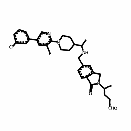 CC(NCc1ccc2c(c1)CN(C(C)CCC=O)C2=O)C1CCN(c2ncc(-c3cccc(Cl)c3)cc2F)CC1